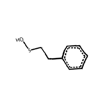 OS[CH]Cc1ccccc1